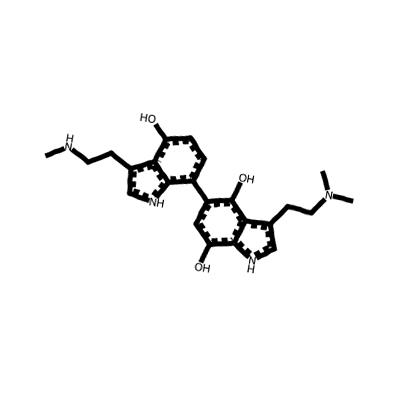 CNCCc1c[nH]c2c(-c3cc(O)c4[nH]cc(CCN(C)C)c4c3O)ccc(O)c12